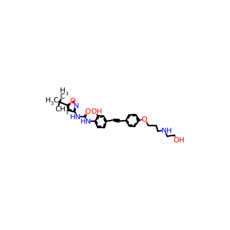 CC(C)(C)c1cc(NC(=O)Nc2ccc(C#Cc3ccc(OCCCNCCO)cc3)cc2O)no1